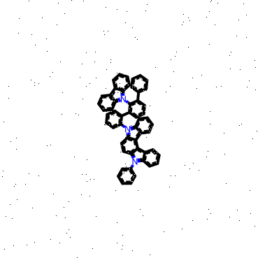 c1ccc(-c2cccc(-c3ccccc3-n3c4ccccc4c4c5c6ccccc6n(-c6ccccc6)c5ccc43)c2-n2c3ccccc3c3ccccc32)cc1